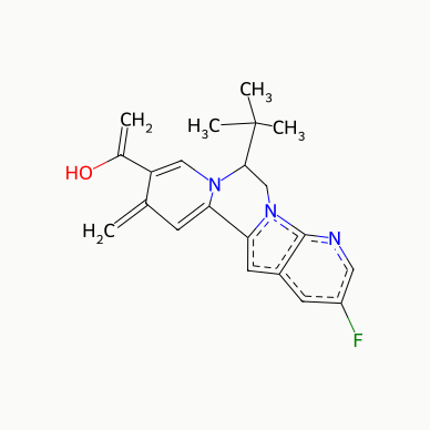 C=C(O)C1=CN2C(=CC1=C)c1cc3cc(F)cnc3n1CC2C(C)(C)C